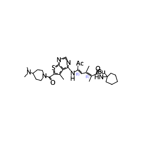 CCC(C)C1(NC(=O)/C(C)=C(C)/C=C(/Nc2ncnc3sc(C(=O)N4CCC(N(C)C)CC4)c(C)c23)C(C)=O)CCCCC1